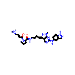 CNc1nc(Nc2ccc3[nH]ncc3c2)ncc1C#CCCCNC(=O)C1CCCN1C(=O)C=CCN(C)C